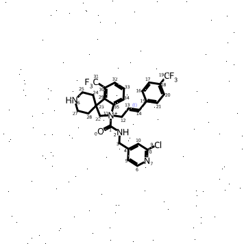 O=C(NCc1ccnc(Cl)c1)[N+]1(C/C=C/c2ccc(C(F)(F)F)cc2)CC2(CCNCC2)c2c(C(F)(F)F)cccc21